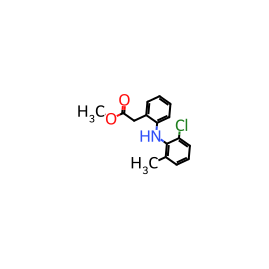 COC(=O)Cc1ccccc1Nc1c(C)cccc1Cl